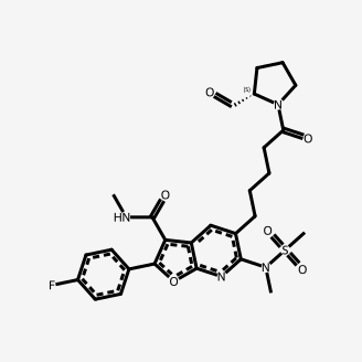 CNC(=O)c1c(-c2ccc(F)cc2)oc2nc(N(C)S(C)(=O)=O)c(CCCCC(=O)N3CCC[C@H]3C=O)cc12